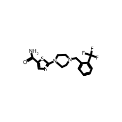 NC(=O)c1cnc(N2CCN(Cc3ccccc3C(F)(F)F)CC2)s1